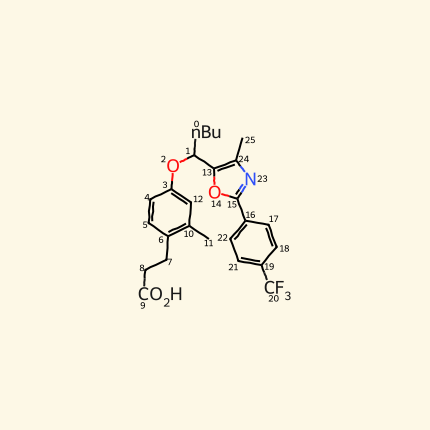 CCCCC(Oc1ccc(CCC(=O)O)c(C)c1)c1oc(-c2ccc(C(F)(F)F)cc2)nc1C